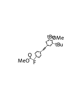 COC(=O)C(F)c1ccc(C#Cc2cc(C(C)(C)C)c(OC)c(C(C)(C)C)c2)cc1